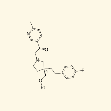 CCOC[C@@]1(CCc2ccc(F)cc2)CCN(CC(=O)c2ccc(C)nc2)C1